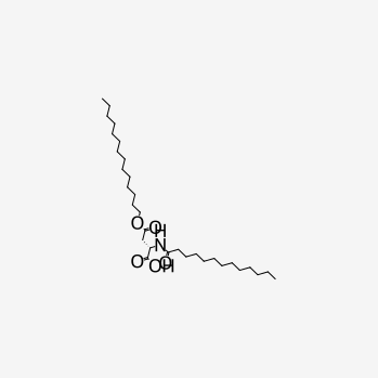 CCCCCCCCCCCCCCOC(=O)C[C@H](NC(=O)CCCCCCCCCCCC)C(=O)O